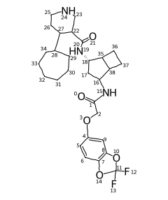 O=C(COc1ccc2c(c1)OC(F)(F)O2)NC1C[C@H](NC(=O)C2CNCCC2C2CCCCCC2)C2CCC12